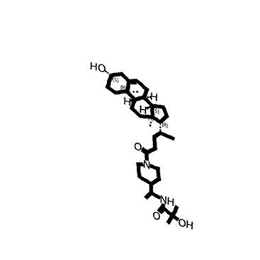 CC(NC(=O)C(C)(C)O)C1CCN(C(=O)CCC(C)[C@H]2CC[C@H]3[C@@H]4CC=C5C[C@@H](O)CC[C@]5(C)[C@H]4CC[C@]23C)CC1